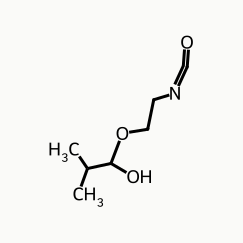 CC(C)C(O)OCCN=C=O